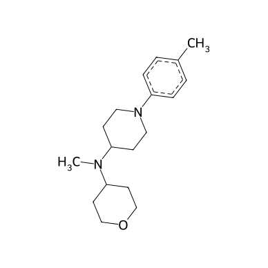 Cc1ccc(N2CCC(N(C)C3CCOCC3)CC2)cc1